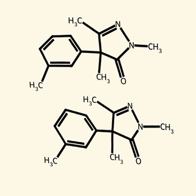 CC1=NN(C)C(=O)C1(C)c1cccc(C)c1.CC1=NN(C)C(=O)C1(C)c1cccc(C)c1